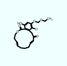 CCOCOc1cc(O)c2c(c1Cl)CC(=O)/C=C/CCC/C=C/CCOC2=O